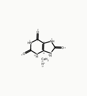 O=c1[nH]c(=O)c2[nH]c(=O)[nH]c2[nH]1.[CaH2].[H+]